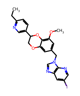 CCc1ccc(C2COc3cc(Cn4cnc5cc(I)cnc54)cc(OC)c3O2)cn1